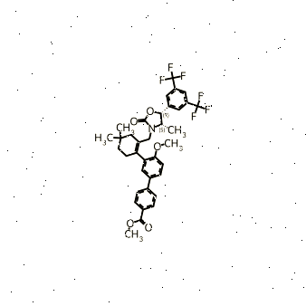 COC(=O)c1ccc(-c2ccc(OC)c(C3=C(CN4C(=O)O[C@H](c5cc(C(F)(F)F)cc(C(F)(F)F)c5)[C@@H]4C)CC(C)(C)CC3)c2)cc1